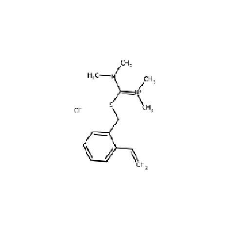 C=Cc1ccccc1CSC(N(C)C)=[N+](C)C.[Cl-]